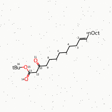 CCCCCCCCC=CCCCCCCCC(=O)CC(=O)OC(C)(C)C